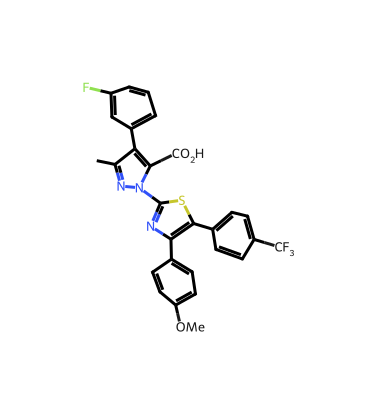 COc1ccc(-c2nc(-n3nc(C)c(-c4cccc(F)c4)c3C(=O)O)sc2-c2ccc(C(F)(F)F)cc2)cc1